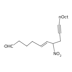 CCCCCCCCC#CCC(C=CCCC[C]=O)[N+](=O)[O-]